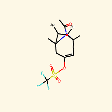 [2H]C1C([2H])C2(C)CC(OS(=O)(=O)C(F)(F)F)=CC1(C)N2C(C)=O